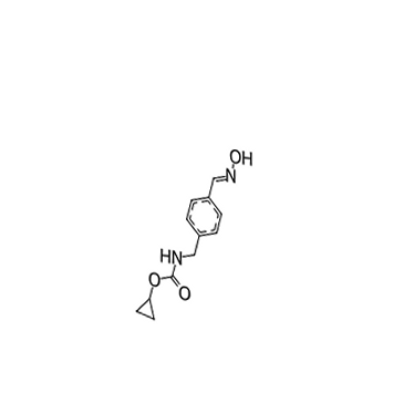 O=C(NCc1ccc(/C=N/O)cc1)OC1CC1